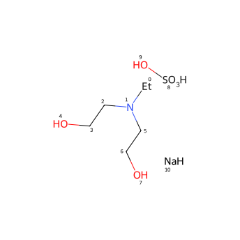 CCN(CCO)CCO.O=S(=O)(O)O.[NaH]